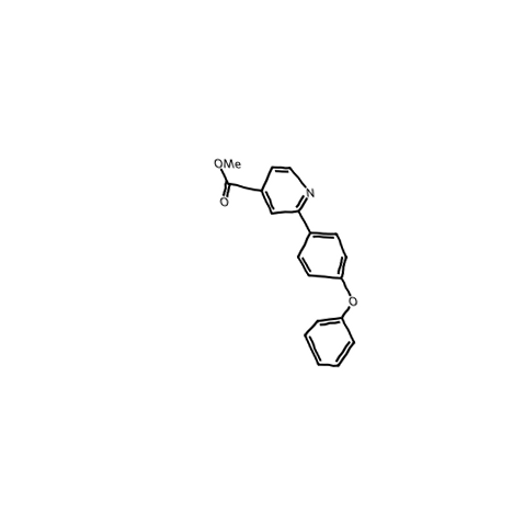 COC(=O)c1ccnc(-c2ccc(Oc3ccccc3)cc2)c1